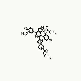 C=CC(=O)N1CCn2cc(-c3nc(-c4ccc(=O)n(C)c4)c4ccsc4c3-c3ccc(F)cc3OC(C)C)nc2C1